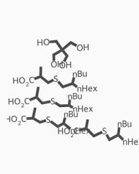 CCCCCCC(CCCC)CSCC(C)C(=O)O.CCCCCCC(CCCC)CSCC(C)C(=O)O.CCCCCCC(CCCC)CSCC(C)C(=O)O.CCCCCCC(CCCC)CSCC(C)C(=O)O.OCC(CO)(CO)CO